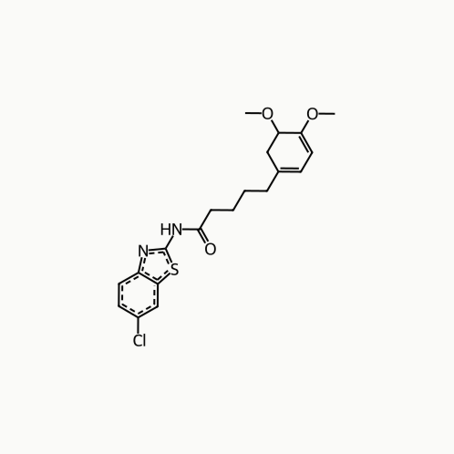 COC1=CC=C(CCCCC(=O)Nc2nc3ccc(Cl)cc3s2)CC1OC